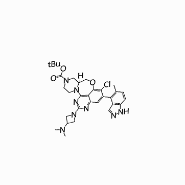 Cc1ccc2[nH]ncc2c1-c1cc2nc(N3CC(N(C)C)C3)nc3c2c(c1Cl)OC[C@@H]1CN(C(=O)OC(C)(C)C)CCN31